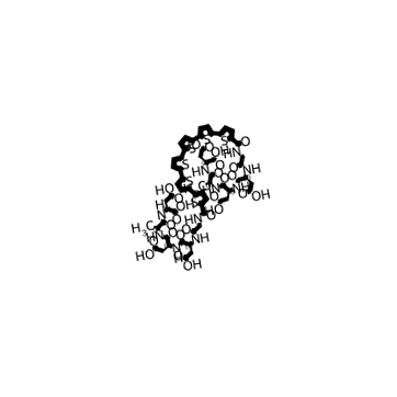 C[C@H](NC(=O)[C@H](CC(=O)O)NC(=O)[C@H](CC(=O)O)NC(=O)CNC(=O)c1ccc(-c2ccc(-c3ccc(-c4ccc(-c5ccc(-c6ccc(C(=O)NCC(=O)N[C@@H](CC(=O)O)C(=O)N[C@@H](CC(=O)O)C(=O)N[C@@H](C)C(=O)N[C@@H](CC(=O)O)C(=O)O)s6)s5)s4)s3)s2)s1)C(=O)N[C@@H](CC(=O)O)C(=O)O